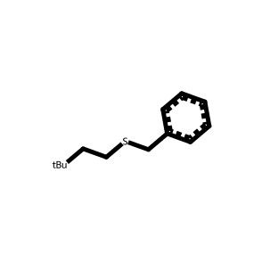 CC(C)(C)CCSCc1ccccc1